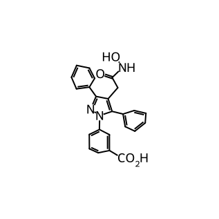 O=C(Cc1c(-c2ccccc2)nn(-c2cccc(C(=O)O)c2)c1-c1ccccc1)NO